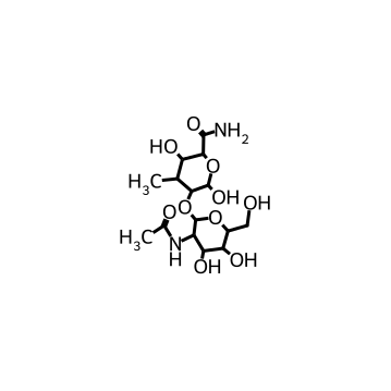 CC(=O)NC1C(OC2C(O)OC(C(N)=O)C(O)C2C)OC(CO)C(O)C1O